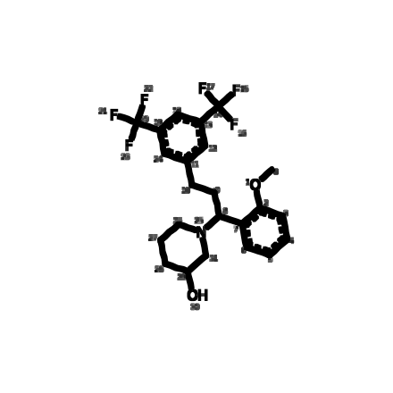 COc1ccccc1C([CH]Cc1cc(C(F)(F)F)cc(C(F)(F)F)c1)N1CCCC(O)C1